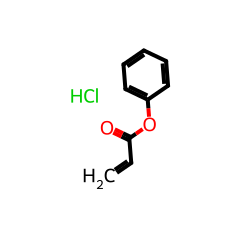 C=CC(=O)Oc1ccccc1.Cl